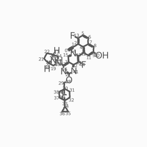 C#Cc1c(F)ccc2cc(O)cc(-c3ncc4c(N5C[C@H]6CC[C@@H](C5)N6)nc(OCC56CCC(C7CC7)(CC5)CC6)nc4c3F)c12